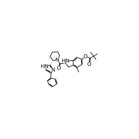 Cc1cc(OC(=O)C(C)(C)C)cc2c1C[C@@H](C(=O)N1CCCC[C@H]1c1nc(-c3ccccc3)c[nH]1)N2